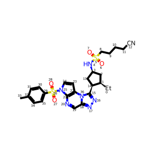 CC[C@@H]1C[C@H](NS(=O)(=O)CCCCC#N)C[C@@H]1c1nnc2cnc3c(ccn3S(=O)(=O)c3ccc(C)cc3)n12